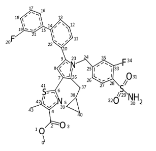 COC(=O)c1nc(-c2cc(-c3cccc(-c4cccc(F)c4)c3)n(Cc3ccc(S(N)(=O)=O)c(F)c3)c2CC2CC2)sc1C